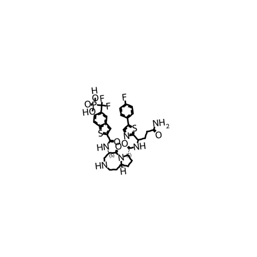 NC(=O)CCC(NC(=O)[C@@H]1CC[C@@H]2CCNC[C@H](NC(=O)c3cc4cc(C(F)(F)P(=O)(O)O)ccc4s3)C(=O)N21)c1ncc(-c2ccc(F)cc2)s1